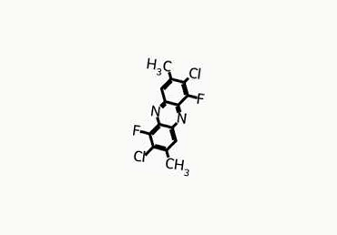 Cc1cc2nc3c(F)c(Cl)c(C)cc3nc2c(F)c1Cl